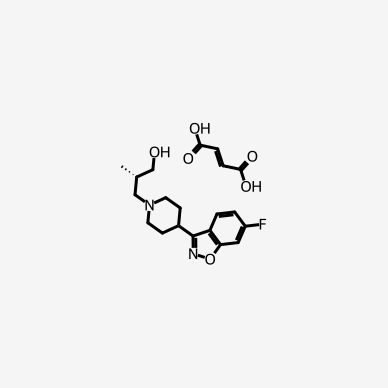 C[C@H](CO)CN1CCC(c2noc3cc(F)ccc23)CC1.O=C(O)/C=C/C(=O)O